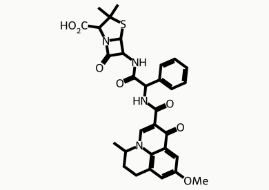 COc1cc2c3c(c1)c(=O)c(C(=O)NC(C(=O)NC1C(=O)N4C1SC(C)(C)C4C(=O)O)c1ccccc1)cn3C(C)CC2